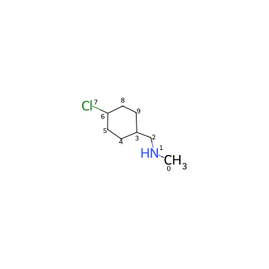 CNCC1CCC(Cl)CC1